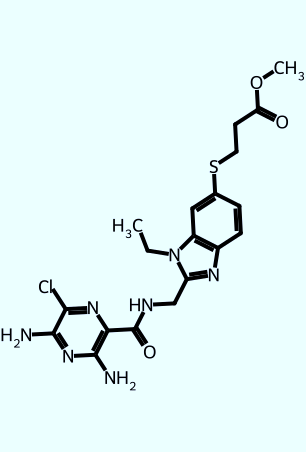 CCn1c(CNC(=O)c2nc(Cl)c(N)nc2N)nc2ccc(SCCC(=O)OC)cc21